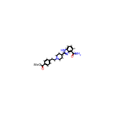 COC(=O)c1ccc(CCN2CCC(c3nc4c(C(N)=O)cccc4[nH]3)CC2)cc1